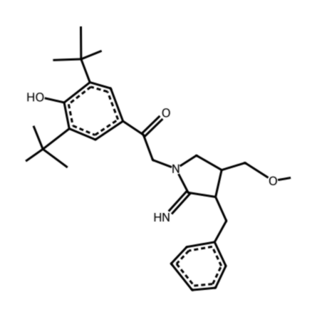 COCC1CN(CC(=O)c2cc(C(C)(C)C)c(O)c(C(C)(C)C)c2)C(=N)C1Cc1ccccc1